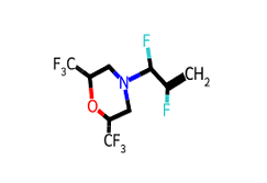 C=C(F)C(F)N1CC(C(F)(F)F)OC(C(F)(F)F)C1